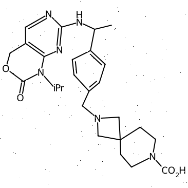 CC(Nc1ncc2c(n1)N(C(C)C)C(=O)OC2)c1ccc(CN2CC3(CCN(C(=O)O)CC3)C2)cc1